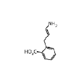 NC=CCc1ccccc1C(=O)O